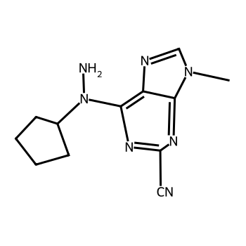 Cn1cnc2c(N(N)C3CCCC3)nc(C#N)nc21